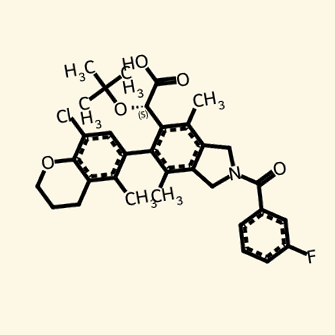 Cc1c(-c2c(C)c3c(c(C)c2[C@H](OC(C)(C)C)C(=O)O)CN(C(=O)c2cccc(F)c2)C3)cc(Cl)c2c1CCCO2